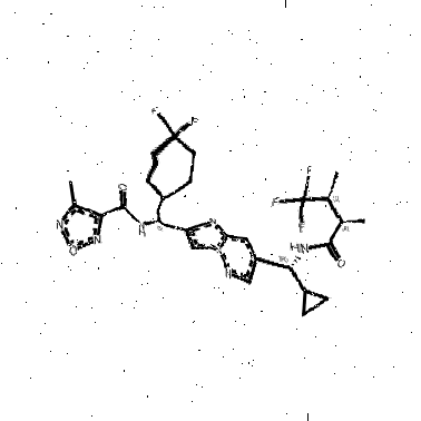 Cc1nonc1C(=O)N[C@H](c1cn2ncc([C@H](NC(=O)[C@H](C)[C@H](C)C(F)(F)F)C3CC3)cc2n1)C1CCC(F)(F)CC1